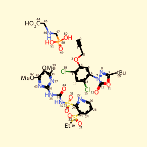 C#CCOc1cc(-n2nc(C(C)(C)C)oc2=O)c(Cl)cc1Cl.CCS(=O)(=O)c1cccnc1S(=O)(=O)NC(=O)Nc1nc(OC)cc(OC)n1.O=C(O)CNCP(=O)(O)O